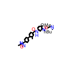 CCCCN(OCCN(C)C)c1cc(NC(=O)c2ccc(-c3ccc(-c4noc(C)n4)cc3)c(C)c2)ccc1OC